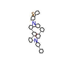 c1ccc(-c2ccc(N(c3ccc(-c4ccccc4)cc3)c3ccccc3-c3cccc(-c4cccc5c4c4ccccc4n5-c4ccc5sc6ccccc6c5c4)c3)cc2)cc1